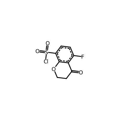 O=C1CCOc2c(S(=O)(=O)Cl)ccc(F)c21